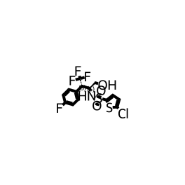 O=S(=O)(N[C@H](CO)[C@H](c1ccc(F)cc1)C(F)(F)F)c1ccc(Cl)s1